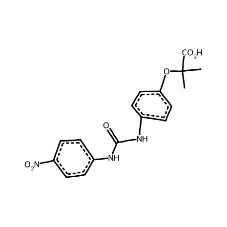 CC(C)(Oc1ccc(NC(=O)Nc2ccc([N+](=O)[O-])cc2)cc1)C(=O)O